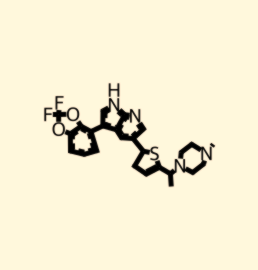 CC(C1=CCC(c2cnc3[nH]cc(-c4cccc5c4OC(F)(F)O5)c3c2)S1)N1CCN(C)CC1